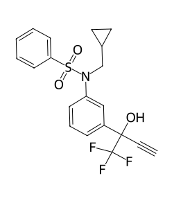 C#CC(O)(c1cccc(N(CC2CC2)S(=O)(=O)c2ccccc2)c1)C(F)(F)F